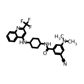 CN(C)c1cc(C#N)cc(C(=O)NC2CCC(Nc3cc(C(F)(F)F)nc4ccccc34)CC2)c1